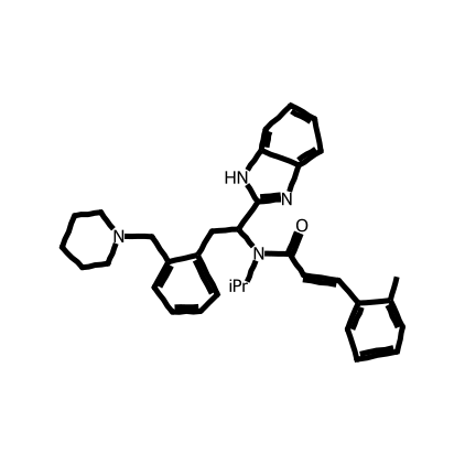 Cc1ccccc1C=CC(=O)N(C(C)C)C(Cc1ccccc1CN1CCCCC1)c1nc2ccccc2[nH]1